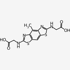 Cc1c2nc(NCC(=O)O)sc2cc2sc(NCC(=O)O)nc12